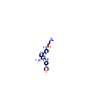 CN(C)C/C=C/C(=O)Nc1ccnc(-c2nccc3c(N)nc(Nc4ccc(N5CCOCC5)cc4)nc23)c1